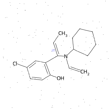 C=CN(/C(=C\C)c1cc(Cl)ccc1O)C1CCCCC1